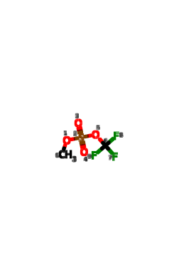 COS(=O)(=O)OC(F)(F)F